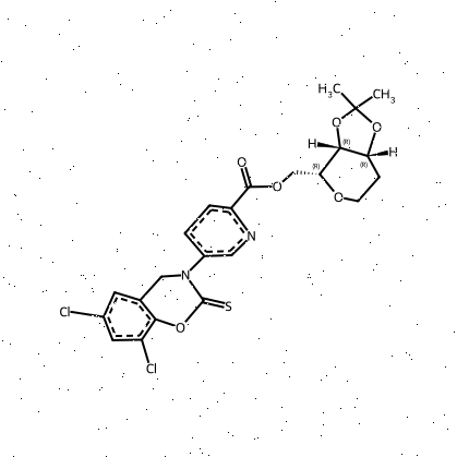 CC1(C)O[C@H]2[C@@H](COC(=O)c3ccc(N4Cc5cc(Cl)cc(Cl)c5OC4=S)cn3)OCC[C@H]2O1